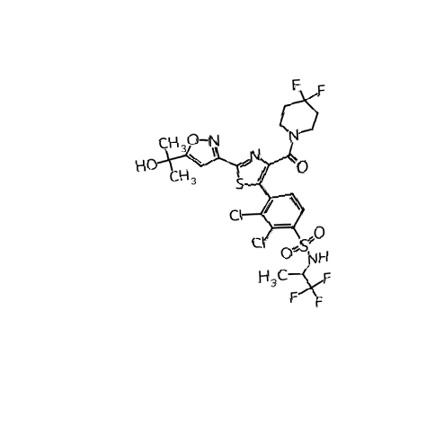 CC(NS(=O)(=O)c1ccc(-c2sc(-c3cc(C(C)(C)O)on3)nc2C(=O)N2CCC(F)(F)CC2)c(Cl)c1Cl)C(F)(F)F